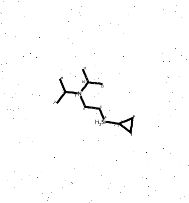 CC(C)N(CC[SiH2]C1CC1)C(C)C